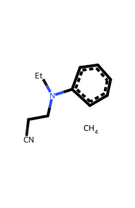 C.CCN(CCC#N)c1ccccc1